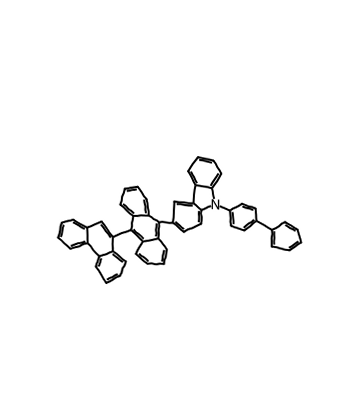 c1ccc(-c2ccc(-n3c4ccccc4c4cc(-c5c6ccccc6c(-c6cc7ccccc7c7ccccc67)c6ccccc56)ccc43)cc2)cc1